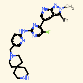 CC(C)c1c2cc(-c3nc(Nc4ccc(CN5CCC6(CCNCC6)CC5)cn4)ncc3F)cnc2nn1C